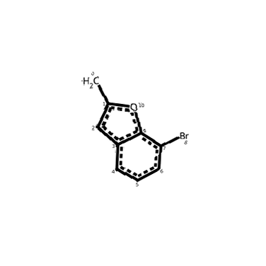 [CH2]c1cc2cccc(Br)c2o1